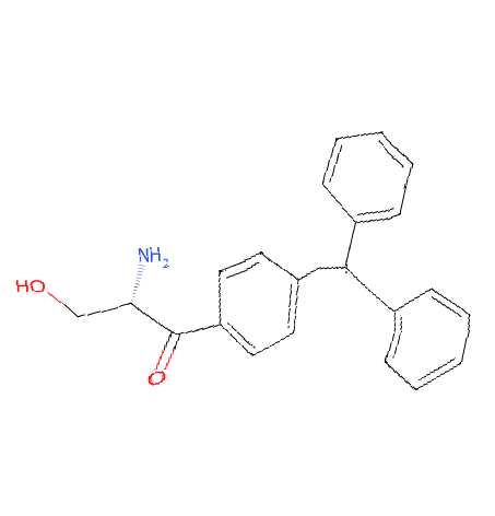 N[C@@H](CO)C(=O)c1ccc([C](c2ccccc2)c2ccccc2)cc1